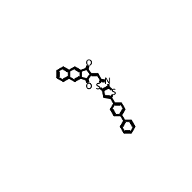 O=C1C(=Cc2nc3sc(-c4ccc(-c5ccccc5)cc4)cc3s2)C(=O)c2cc3ccccc3cc21